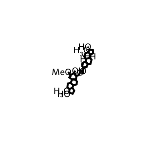 COc1cc2c(c(COOc3ccc4c(c3)CC[C@@H]3[C@@H]4CC[C@]4(C)[C@@H](O)CC[C@@H]34)c1O)CCC1C2CC[C@@]2(C)C1CC[C@@H]2O